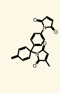 C=C1C=CC(c2ccc(N3C(=O)C=CC3=O)cc2)(N2C(=O)C=C(C)C2=O)C=C1